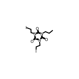 CCCn1c(=O)n(CCI)c(=O)n(CCI)c1=O